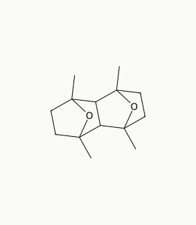 CC12CCC(C)(O1)C1C2C2(C)CCC1(C)O2